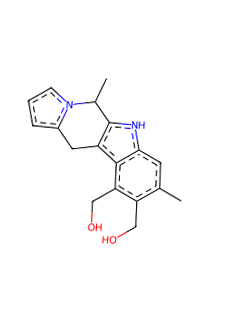 Cc1cc2[nH]c3c(c2c(CO)c1CO)Cc1cccn1C3C